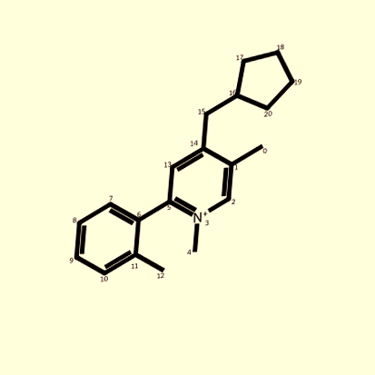 Cc1c[n+](C)c(-c2ccccc2C)cc1CC1CCCC1